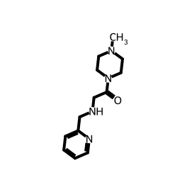 CN1CCN(C(=O)CNCc2ccccn2)CC1